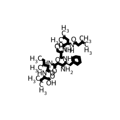 CCC(NC(=O)C(CC(C)C)NC(=O)CC(C)C)C(=O)N[C@@H](Cc1ccccc1)[C@@H](N)CC(=O)N[C@H](C(=O)NC(C(=O)O)C(C)C)[C@@H](C)CC